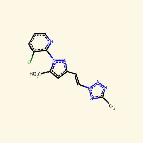 O=C(O)c1cc(C=Cn2nnc(C(F)(F)F)n2)nn1-c1ncccc1Cl